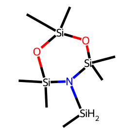 C[SiH2]N1[Si](C)(C)O[Si](C)(C)O[Si]1(C)C